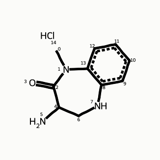 CN1C(=O)C(N)CNc2ccccc21.Cl